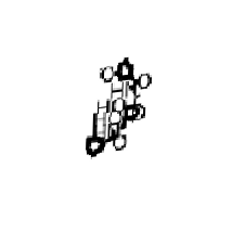 COc1cccc(C(=O)NC[C@H]2OC[C@@](O)(CNC(=O)c3ccccc3)[C@@H]2O)c1